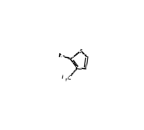 Cc1ccsc1[N]